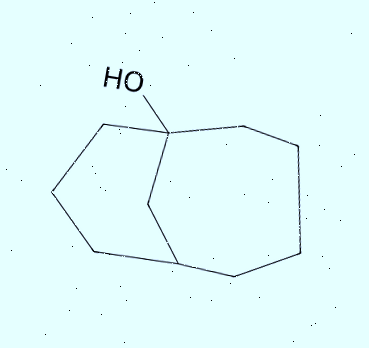 OC12CCCCC(CCC1)C2